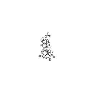 CC(=O)O[C@H]1CC[C@@]2(C)[C@@H](CCC3(C)[C@@H]2CC[C@@H]2C4=C(C(C)C)C(=O)CC4(CO)CCC23C)C1(C)C